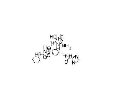 CN(C)C(=N)NC(=N)N.Cc1cnc(C(=O)NCCc2ccc(S(=O)(=O)NC(=O)NC3CCCCC3)cc2)cn1.Cl